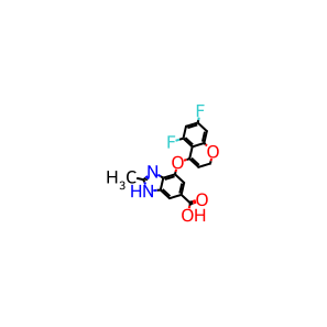 Cc1nc2c(OC3=CCOc4cc(F)cc(F)c43)cc(C(=O)O)cc2[nH]1